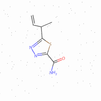 C=CC(C)c1nnc(C(N)=O)s1